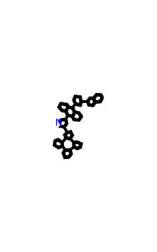 c1cc(-c2ccc3ccccc3c2)cc(-c2c3ccccc3c(-c3cncc(-c4ccc5c(c4)-c4ccccc4-c4ccccc4-c4ccccc4-5)c3)c3ccccc23)c1